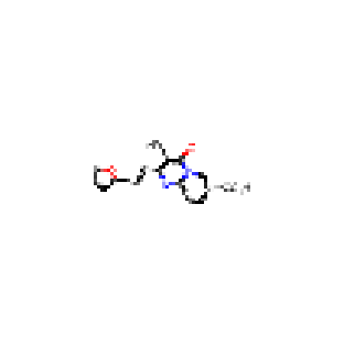 CCCc1c(C=Cc2ccco2)nc2ccc(C(=O)O)cn2c1=O